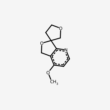 COc1ccnc2c1COC21CCOC1